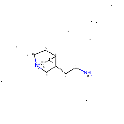 NCCC1CN2CCC1CC2